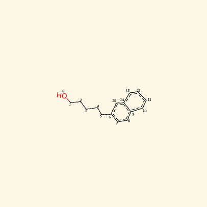 OCCCCCc1ccc2ccccc2c1